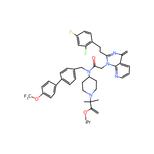 C=C1N=C(CCc2ccc(F)cc2F)N(CC(=O)N(Cc2ccc(-c3ccc(OC(F)(F)F)cc3)cc2)C2CCN(C(C)(C)C(=C)OC(C)C)CC2)c2ncccc21